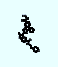 Cc1nc2ccc(C(=O)NCCN3CCOCC3)cn2c1-c1csc(C2(c3ccc(C(=O)NO)cc3)CCCC2)n1